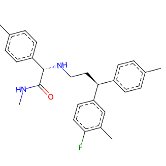 CNC(=O)[C@@H](NCC[C@@H](c1ccc(C)cc1)c1ccc(F)c(C)c1)c1ccc(C)cc1